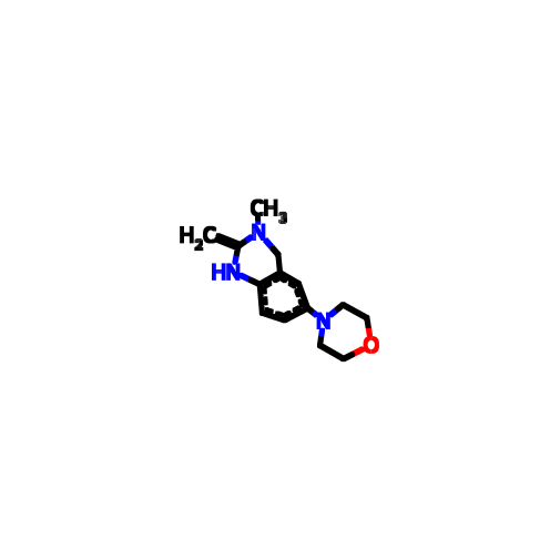 C=C1Nc2ccc(N3CCOCC3)cc2CN1C